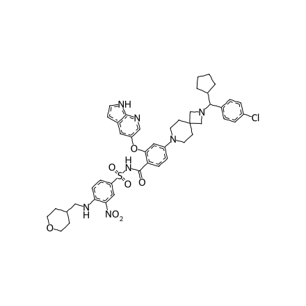 O=C(NS(=O)(=O)c1ccc(NCC2CCOCC2)c([N+](=O)[O-])c1)c1ccc(N2CCC3(CC2)CN(C(c2ccc(Cl)cc2)C2CCCC2)C3)cc1Oc1cnc2[nH]ccc2c1